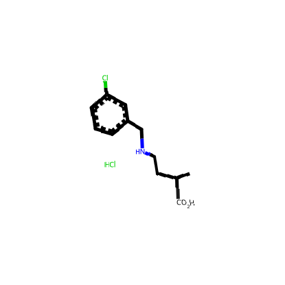 CC(CCNCc1cccc(Cl)c1)C(=O)O.Cl